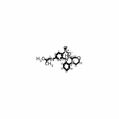 CC(C)CNc1ccc([N+](=O)[O-])c(Nc2ccccc2N2CCOCC2F)n1